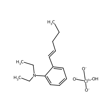 CCCC=Cc1ccccc1N(CC)CC.[O-][Cl+3]([O-])([O-])O